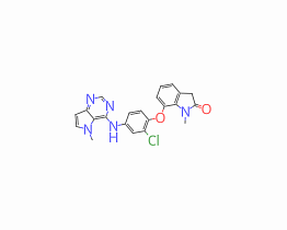 CN1C(=O)Cc2cccc(Oc3ccc(Nc4ncnc5ccn(C)c45)cc3Cl)c21